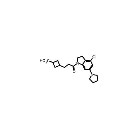 O=C(O)C1CC(CCC(=O)N2CCc3c(Cl)cc(N4CCCC4)cc32)C1